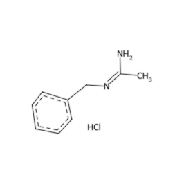 CC(N)=NCc1ccccc1.Cl